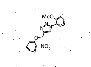 COc1ccccc1-n1cc(COc2ccccc2[N+](=O)[O-])nn1